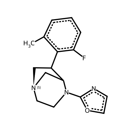 Cc1cccc(F)c1C1C[N@]2CCN(c3ncco3)C1C2